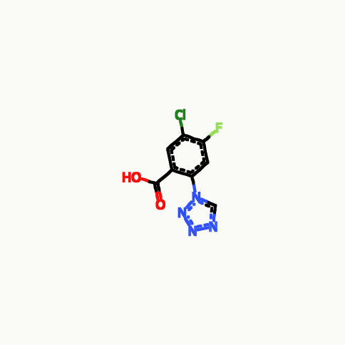 O=C(O)c1cc(Cl)c(F)cc1-n1cnnn1